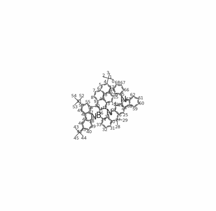 CC(C)(C)c1cc2ccc3c4c5c(c6ccc(c1)c2c36)N1c2cc3c(cc2C(C)(C)c2cccc(c21)B5n1c2ccc(C(C)(C)C)cc2c2cc(C(C)(C)C)cc-4c21)c1ccccc1n3-c1ccccc1